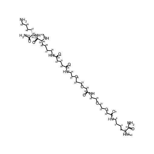 CN[C@@H](CCCCNC(=O)COCCOCCNC(=O)COCCOCCNC(=O)CCCC(=O)NCCCC[C@H](NC)C(=O)N[C@@H](CCCCN)C(N)=O)C(N)=O